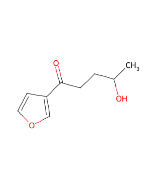 CC(O)CCC(=O)c1ccoc1